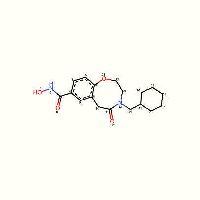 O=C(NO)c1ccc2c(c1)CC(=O)N(CC1CCCCC1)CCO2